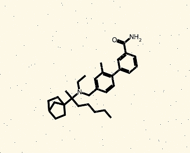 CCCCCC(C)(N(CC)Cc1ccc(-c2cccc(C(N)=O)c2)c(C)c1)C12CCC(CC1)C2